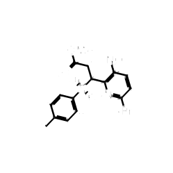 COC(=O)CC(c1nc(Br)ccc1N=O)S(=O)(=O)c1ccc(C)cc1